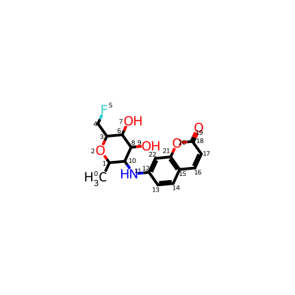 CC1OC(CF)C(O)C(O)C1Nc1ccc2ccc(=O)oc2c1